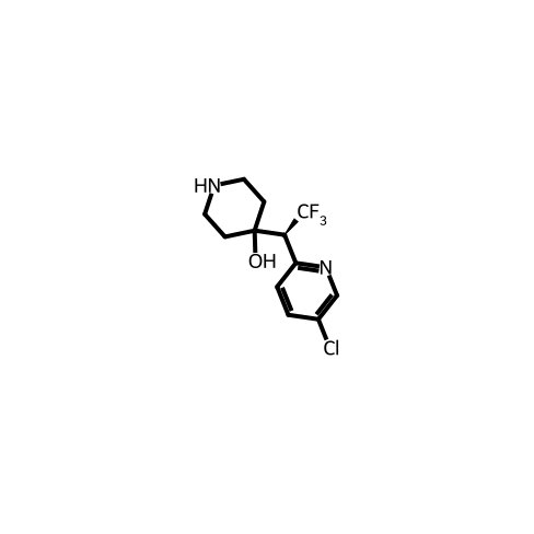 OC1([C@H](c2ccc(Cl)cn2)C(F)(F)F)CCNCC1